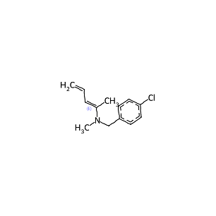 C=C/C=C(\C)N(C)Cc1ccc(Cl)cc1